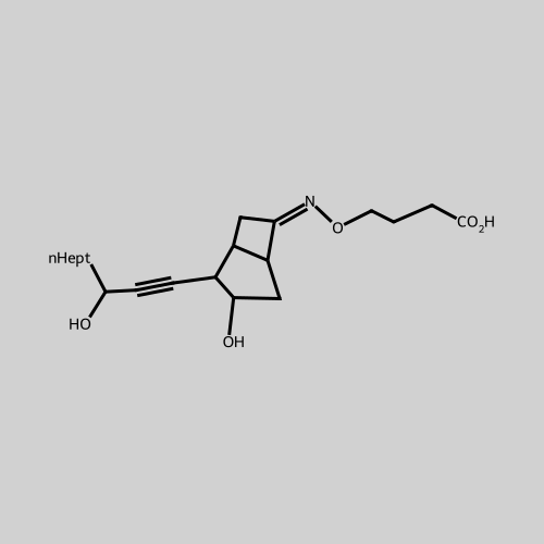 CCCCCCCC(O)C#CC1C(O)CC2C(=NOCCCC(=O)O)CC21